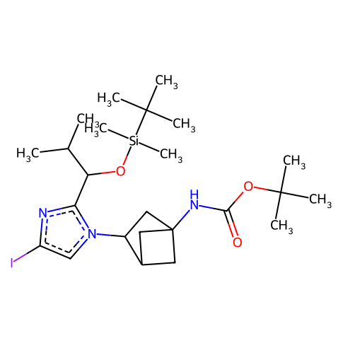 CC(C)C(O[Si](C)(C)C(C)(C)C)c1nc(I)cn1C1CC2(NC(=O)OC(C)(C)C)CC1C2